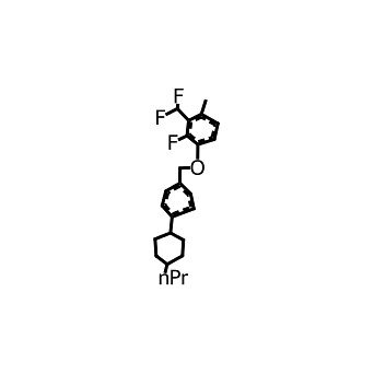 CCCC1CCC(c2ccc(COc3ccc(C)c(C(F)F)c3F)cc2)CC1